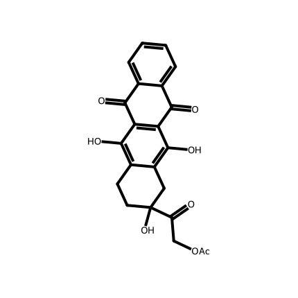 CC(=O)OCC(=O)C1(O)CCc2c(O)c3c(c(O)c2C1)C(=O)c1ccccc1C3=O